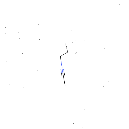 CC#[N+]CCCC